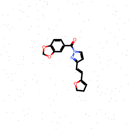 O=C(c1ccc2c(c1)OCO2)n1ccc(/C=C/C2=CCCO2)n1